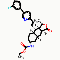 CCOC(=O)N[C@@H]1CC[C@@H]2[C@@H](C1)C[C@@H]1C(=O)O[C@H](C)[C@@H]1[C@H]2/C=C/c1ccc(-c2cccc(F)c2)cn1